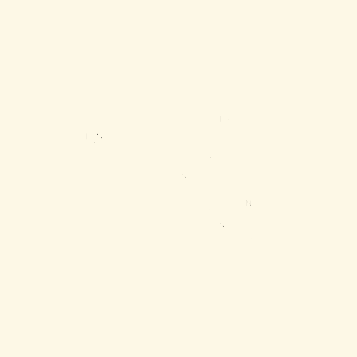 CC1=C(c2nc(-c3ccc(N)cc3)cs2)C(c2cccc(O)c2)NC(=O)N1